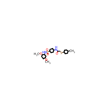 COc1ccc(OC)c(NS(=O)(=O)c2ccc(NC(=O)CSc3ccc(C)cc3)cc2)c1